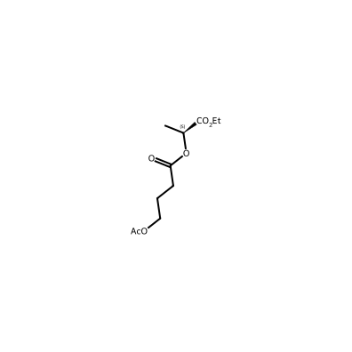 CCOC(=O)[C@H](C)OC(=O)CCCOC(C)=O